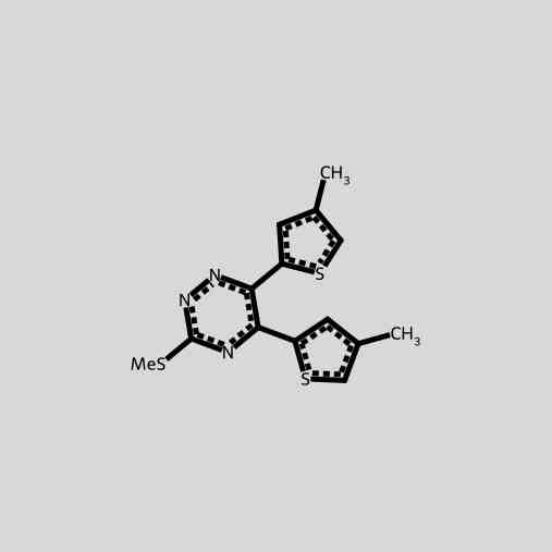 CSc1nnc(-c2cc(C)cs2)c(-c2cc(C)cs2)n1